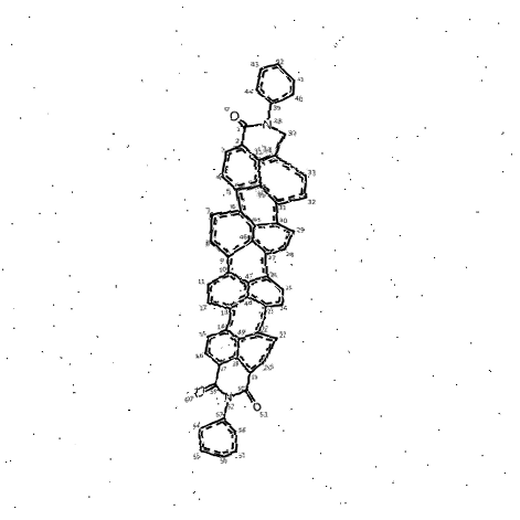 O=C1c2ccc3c4ccc5c6ccc7c8ccc9c%10c(ccc(c%11ccc(c%12ccc(c%13ccc(c2c%133)CN1c1ccccc1)c4c%125)c6c%117)c%108)C(=O)N(c1ccccc1)C9=O